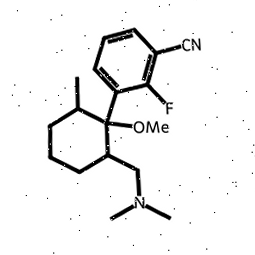 COC1(c2cccc(C#N)c2F)C(C)CCCC1CN(C)C